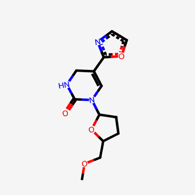 COCC1CCC(N2C=C(c3ncco3)CNC2=O)O1